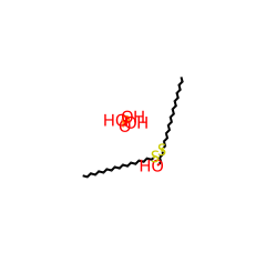 CCCCCCCCCCCCCCCCCCSCC(CO)SCCCCCCCCCCCCCCCCCC.O=P(O)(O)O